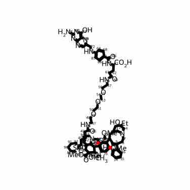 CC[C@]1(O)CC2CN(CCc3c([nH]c4ccccc34)[C@@](C(=O)OC)(c3cc4c(cc3OC)N(C)[C@H]3[C@@](O)(C(=O)OC)[C@H](O[Si]5(CCCCC(=O)NCCOCCOCCOCCNC(=O)CC[C@H](NC(=O)c6ccc(NCc7cnc8nc(N)nc(O)c8n7)cc6)C(=O)O)CCCCC5)[C@]5(CC)C=CCN6CC[C@]43[C@@H]65)C2)C1